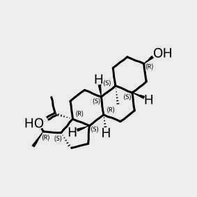 C=C(C)[C@]12CC[C@H]3[C@@H](CC[C@H]4C[C@H](O)CC[C@@]43C)[C@@H]1CC[C@@H]2[C@@H](C)O